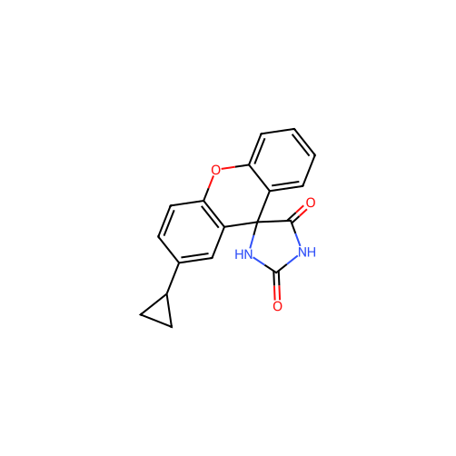 O=C1NC(=O)C2(N1)c1ccccc1Oc1ccc(C3CC3)cc12